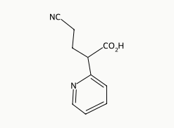 N#CCCC(C(=O)O)c1ccccn1